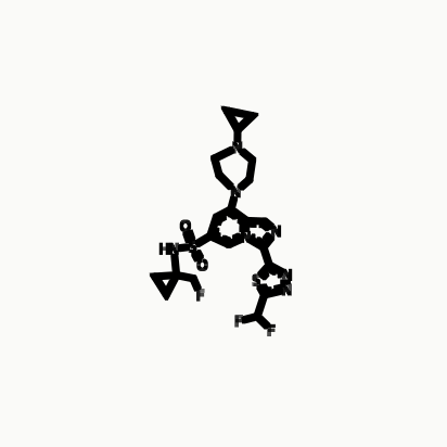 O=S(=O)(NC1(CF)CC1)c1cc(N2CCN(C3CC3)CC2)c2cnc(-c3nnc(C(F)F)s3)n2c1